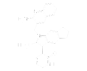 Nc1nc2ccccc2cc1Cn1c(C(=O)O)c(-c2ccc[nH]c2=O)c2cc3c(cc21)CCC3